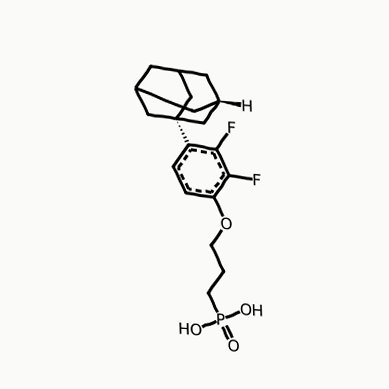 O=P(O)(O)CCCOc1ccc([C@]23CC4CC(C[C@H](C4)C2)C3)c(F)c1F